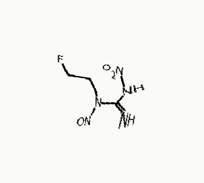 N=C(N[N+](=O)[O-])N(CCF)N=O